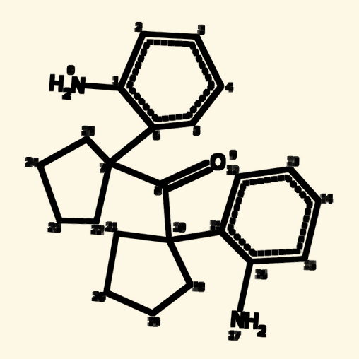 Nc1ccccc1C1(C(=O)C2(c3ccccc3N)CCCC2)CCCC1